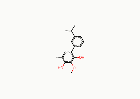 COc1c(O)c(C)cc(-c2cccc(C(C)C)c2)c1O